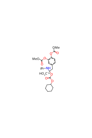 COC(=O)Oc1ccc(C[C@](NC(C)C)(OC(=O)OC2CCCCC2)C(=O)O)cc1OC(=O)OC